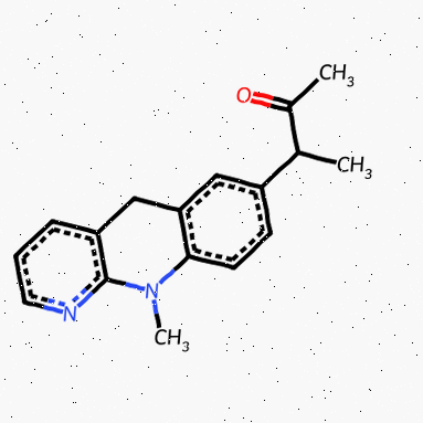 CC(=O)C(C)c1ccc2c(c1)Cc1cccnc1N2C